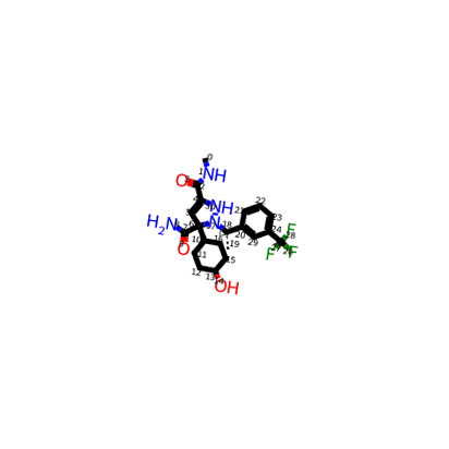 CNC(=O)C1=CC(C(N)=O)(C2CCC(O)CC2)N([C@@H](C)c2cccc(C(F)(F)F)c2)N1